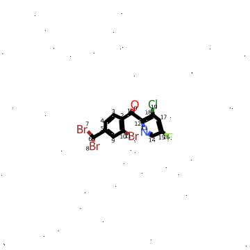 O=C(c1ccc(C(Br)Br)cc1Br)c1ncc(F)cc1Cl